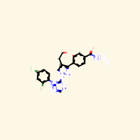 NC(=O)c1ccc2c(c1)OCCc1cn(-c3ncnn3-c3ccc(F)cc3F)nc1-2